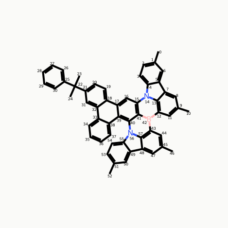 Cc1ccc2c(c1)c1cc(C)cc3c1n2-c1cc2c4ccc(C(C)(C)c5ccccc5)cc4c4ccccc4c2c2c1B3c1cc(C)cc3c4cc(C)ccc4n-2c13